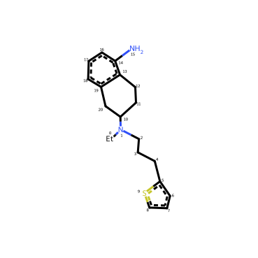 CCN(CCCc1cccs1)C1CCc2c(N)cccc2C1